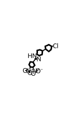 O=[N+]([O-])c1ccc(-c2nc3cc(-c4ccc(Cl)cc4)ccc3[nH]2)cc1[N+](=O)[O-]